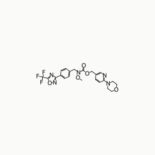 CON(Cc1ccc(-c2noc(C(F)(F)F)n2)cc1)C(=O)OCc1ccc(N2CCOCC2)nc1